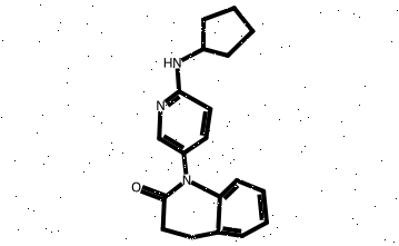 O=C1CCc2ccccc2N1c1ccc(NC2CCCC2)nc1